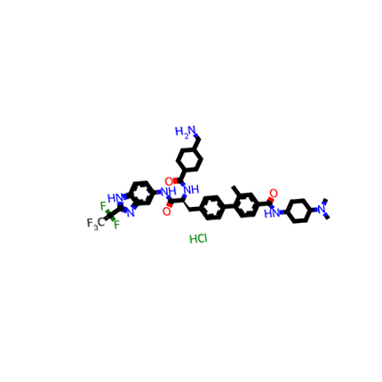 Cc1cc(C(=O)NC2CCC(N(C)C)CC2)ccc1-c1ccc(C[C@H](NC(=O)C2CCC(CN)CC2)C(=O)Nc2ccc3[nH]c(C(F)(F)C(F)(F)F)nc3c2)cc1.Cl